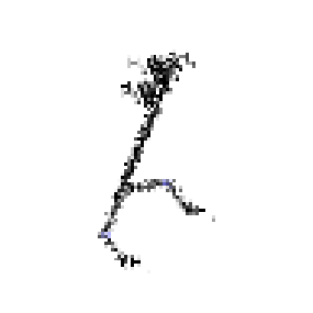 CCCCCCCC/C=C\CCCCCCCCOCC(COCCOCCOCCOCCOCCOCCOC(=O)CN(CCOC(=O)CN(CCOC)C(=O)OC(C)(C)C)C(=O)OC(C)(C)C)OCCCCCCCC/C=C\CCCCCCCC